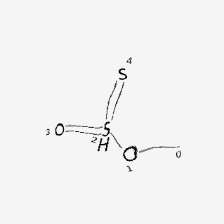 CO[SH](=O)=S